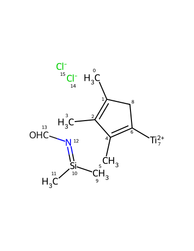 CC1=C(C)C(C)=[C]([Ti+2])C1.C[Si](C)=NC=O.[Cl-].[Cl-]